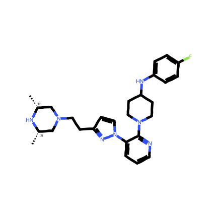 C[C@@H]1CN(CCc2ccn(-c3cccnc3N3CCC(Nc4ccc(F)cc4)CC3)n2)C[C@H](C)N1